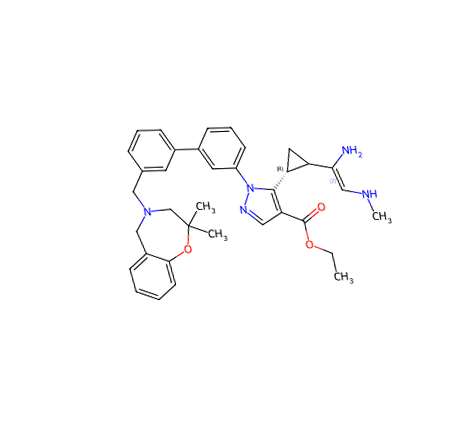 CCOC(=O)c1cnn(-c2cccc(-c3cccc(CN4Cc5ccccc5OC(C)(C)C4)c3)c2)c1[C@@H]1CC1/C(N)=C/NC